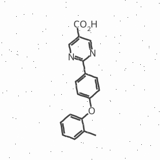 Cc1ccccc1Oc1ccc(-c2ncc(C(=O)O)cn2)cc1